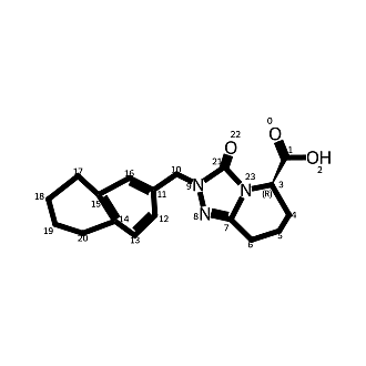 O=C(O)[C@H]1CCCc2nn(Cc3ccc4c(c3)CCCC4)c(=O)n21